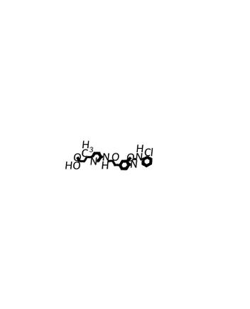 CC(CC(=O)O)c1ccc(NCC(=O)Cc2ccc3nc(Nc4ccccc4Cl)oc3c2)cn1